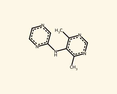 Cc1ncnc(C)c1Nc1cnccn1